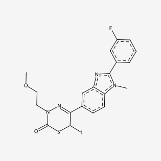 COCCN1N=C(c2ccc3c(c2)nc(-c2cccc(F)c2)n3C)C(I)SC1=O